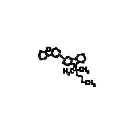 CCCCC(C)(C)n1c2ccccc2c2cc(-c3ccc4oc5ccccc5c4c3)ccc21